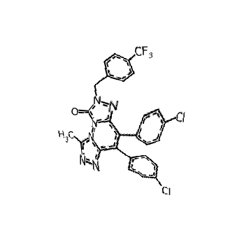 Cc1nnc2c(-c3ccc(Cl)cc3)c(-c3ccc(Cl)cc3)c3nn(Cc4ccc(C(F)(F)F)cc4)c(=O)n3n12